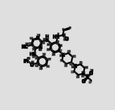 C=CC(=O)Nc1cc(N2CCC(N3CCN(S(C)(=O)=O)CC3)CC2)ccc1Nc1ncc(C#N)c(Nc2ccccc2OC(C)C)n1